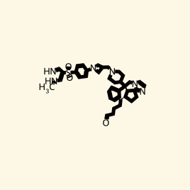 CN/C=C(\C=N)S(=O)(=O)c1ccc(N2CC(CN3CCC(C(Cn4ccnc4)(c4ccccc4)[C@H]4CCC[C@@H]4CCCCC=O)CC3)C2)cc1